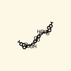 CC(C)C1=CC2=CCC3C(C)(C(=O)OCC(O)COc4ccc(S(=O)(=O)c5ccc(OCC(O)COC(=O)C6(C)CCCC7(C)C8CCC(C(C)C)=CC8=CCC67)cc5)cc4)CCCC3(C)C2CC1